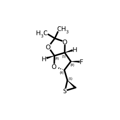 CC1(C)O[C@H]2O[C@@H]([C@H]3CS3)[C@H](F)[C@H]2O1